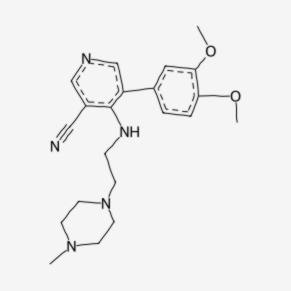 COc1ccc(-c2cncc(C#N)c2NCCN2CCN(C)CC2)cc1OC